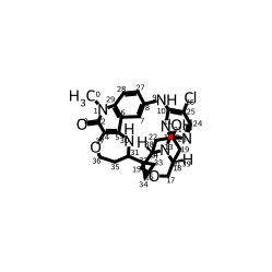 Cn1c(=O)c2c(c3cc(Nc4nc(N5[C@@H]6COC[C@H]5CC(O)C6)ncc4Cl)ccc31)NC(C1CC1)CCO2